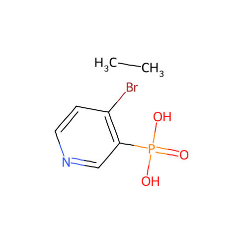 CC.O=P(O)(O)c1cnccc1Br